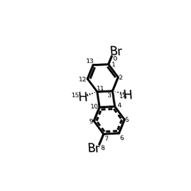 BrC1=C[C@H]2c3ccc(Br)cc3[C@H]2C=C1